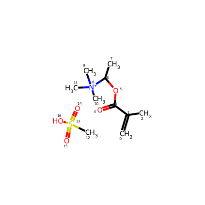 C=C(C)C(=O)OC(C)[N+](C)(C)C.CS(=O)(=O)O